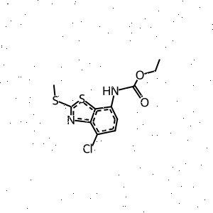 CCOC(=O)Nc1ccc(Cl)c2nc(SC)sc12